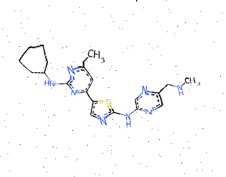 CNCc1cnc(Nc2ncc(-c3cc(C)nc(NC4CCCCC4)n3)s2)cn1